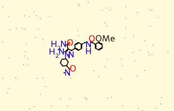 COc1ccccc1C(=O)NCc1ccc(-c2nn(C3CCCC(C(=O)N(C)C)C3)c(N)c2C(N)=O)cc1